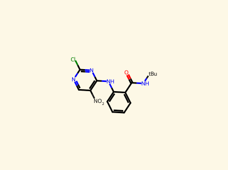 CC(C)(C)NC(=O)c1ccccc1Nc1nc(Cl)ncc1[N+](=O)[O-]